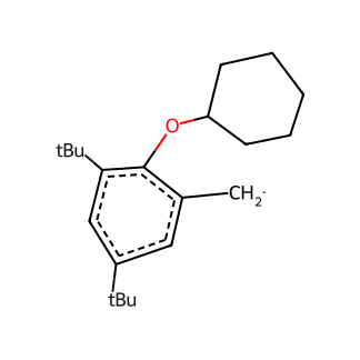 [CH2]c1cc(C(C)(C)C)cc(C(C)(C)C)c1OC1CCCCC1